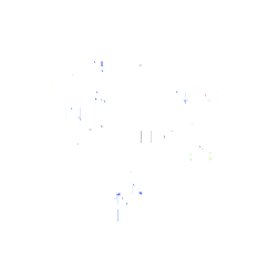 CC1C(C(=O)N2Cc3ccc(-c4ncc(F)c(Nc5ccc(-c6cn[nH]c6)cc5)n4)cc3C2)CC1(F)F